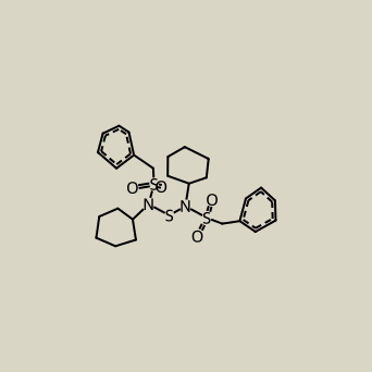 O=S(=O)(Cc1ccccc1)N(SN(C1CCCCC1)S(=O)(=O)Cc1ccccc1)C1CCCCC1